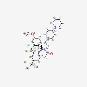 COc1cccc(C(CN(C)C(=O)Cc2cc(C(F)(F)F)cc(C(F)(F)F)c2)N2CCC(N3CCCCC3)CC2)c1